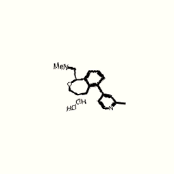 CNC[C@@H]1OCCCc2c(-c3ccnc(C)c3)cccc21.Cl.Cl